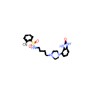 N#Cc1ccccc1S(=O)(=O)NCCCCN1CCN(c2cccc3[nH]c(=O)[nH]c23)CC1